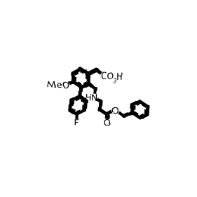 COc1ccc(CC(=O)O)c(CNCCC(=O)OCc2ccccc2)c1-c1ccc(F)cc1